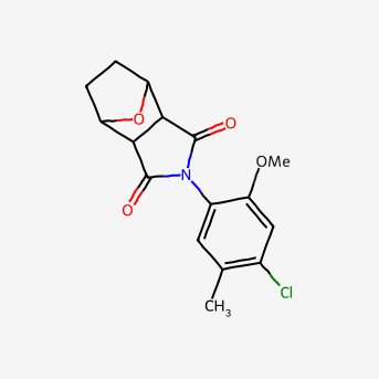 COc1cc(Cl)c(C)cc1N1C(=O)C2C3CCC(O3)C2C1=O